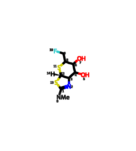 CNC1=NC2C(O)C(O)C(CF)S[C@@H]2S1